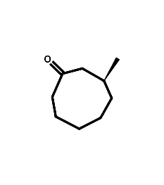 C[C@H]1CCCCCC(=O)C1